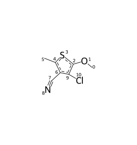 COc1sc(C)c(C#N)c1Cl